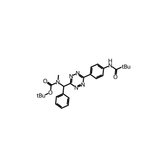 CN(C(=O)OC(C)(C)C)C(c1ccccc1)c1nnc(-c2ccc(NC(=O)C(C)(C)C)cc2)nn1